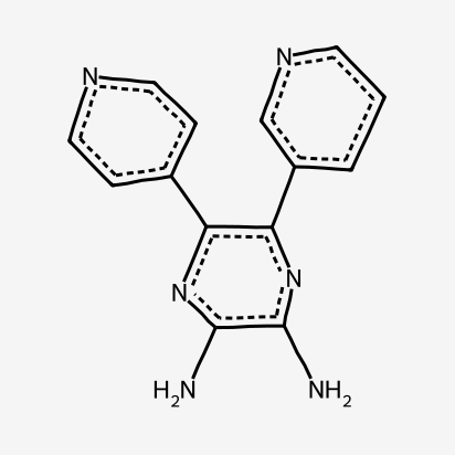 Nc1nc(-c2ccncc2)c(-c2cccnc2)nc1N